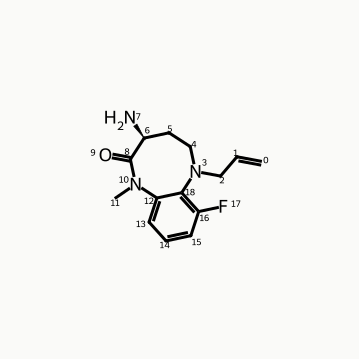 C=CCN1CC[C@H](N)C(=O)N(C)c2cccc(F)c21